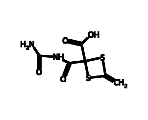 C=C1SC(C(=O)O)(C(=O)NC(N)=O)S1